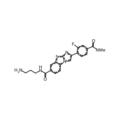 CNC(=O)c1ccc(-c2cn3c(n2)sc2cc(C(=O)NCCCN)ccc23)c(F)c1